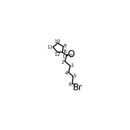 O=C(CCCCCBr)C1CCCC1